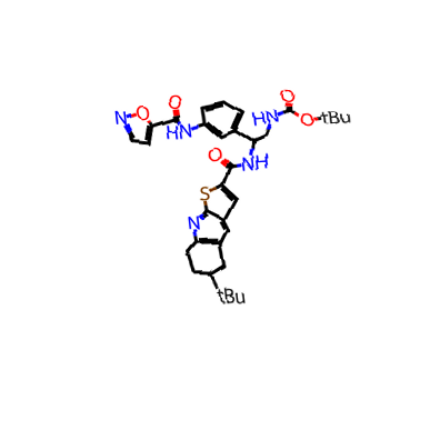 CC(C)(C)OC(=O)NCC(NC(=O)c1cc2cc3c(nc2s1)CCC(C(C)(C)C)C3)c1cccc(NC(=O)c2ccno2)c1